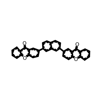 O=c1c2ccccc2oc2ccc(-c3ccc4ccc(-c5ccc6oc7ccccc7c(=O)c6c5)cc4c3)cc12